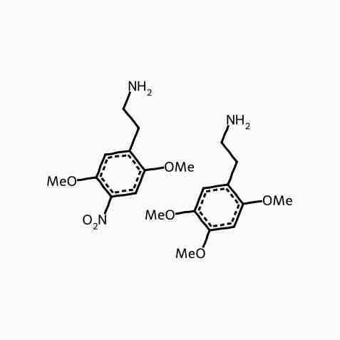 COc1cc(OC)c(OC)cc1CCN.COc1cc([N+](=O)[O-])c(OC)cc1CCN